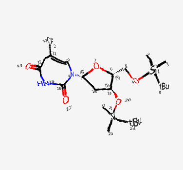 CC(C)(C)[Si](C)(C)OC[C@H]1O[C@@H](n2cc(C(F)(F)F)c(=O)[nH]c2=O)C[C@@H]1O[Si](C)(C)C(C)(C)C